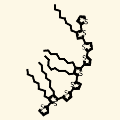 CCCCCCCCc1cc(-c2ccc(-c3ccc(-c4sc(-c5ccc(-c6ccc(-c7sc(-c8cccs8)c(CCCCCCCC)c7CCCCCCCC)s6)s5)c(CCCCCCCC)c4CCCCCCCC)s3)s2)sc1-c1cccs1